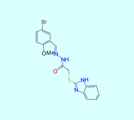 COc1ccc(Br)cc1/C=N/NC(=O)CSc1nc2ccccc2[nH]1